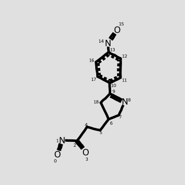 O=NC(=O)CCC1CN=C(c2ccc(N=O)cc2)C1